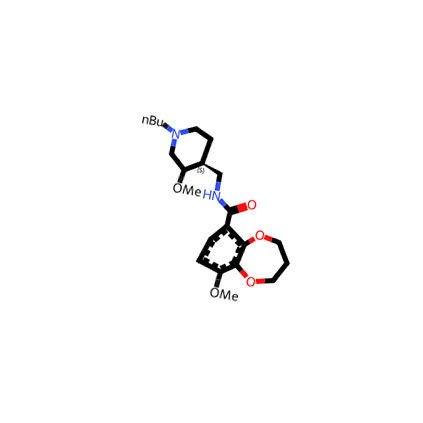 CCCCN1CC[C@@H](CNC(=O)c2ccc(OC)c3c2OCCCO3)C(OC)C1